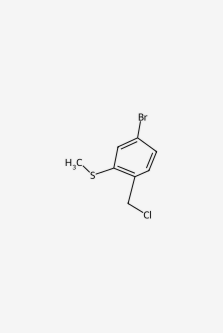 CSc1cc(Br)ccc1CCl